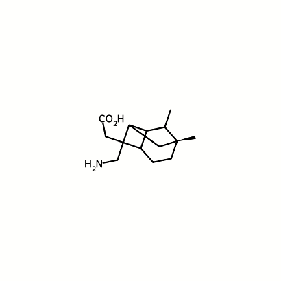 CC1C2C3CC[C@]1(C)CC2C3(CN)CC(=O)O